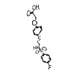 O=C(O)COc1ccc(SCCNS(=O)(=O)c2ccc(F)cc2)cc1